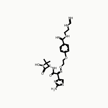 CC1(C)[C@H](NC(=O)C(=NOCCOc2ccc(C(=N)NCCNC=N)cc2)c2csc(N)n2)C(=O)N1O